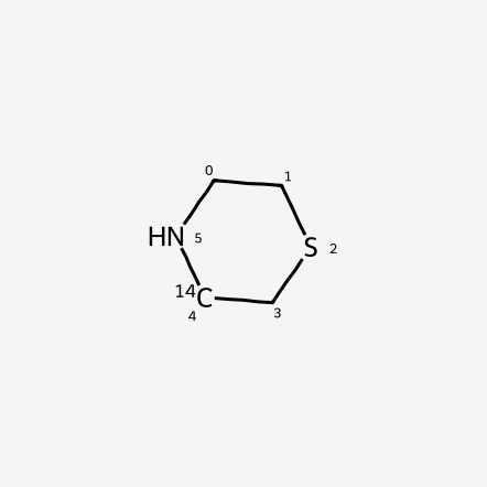 C1CSC[14CH2]N1